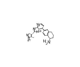 Cc1c(-c2nc3nccc(-c4ccc5c(c4)CCCC5N)c3[nH]2)cnn1C(C)C